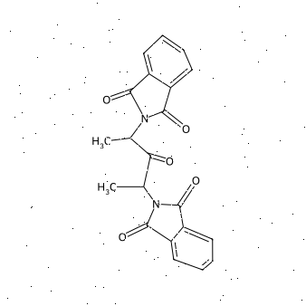 CC(C(=O)C(C)N1C(=O)c2ccccc2C1=O)N1C(=O)c2ccccc2C1=O